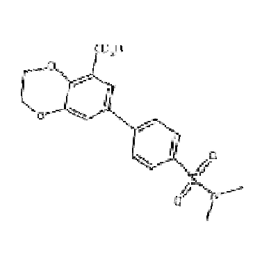 CN(C)S(=O)(=O)c1ccc(-c2cc3c(c(C(=O)O)c2)OCCO3)cc1